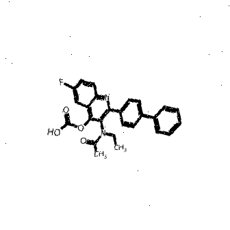 CCN(C(C)=O)c1c(-c2ccc(-c3ccccc3)cc2)nc2ccc(F)cc2c1OC(=O)O